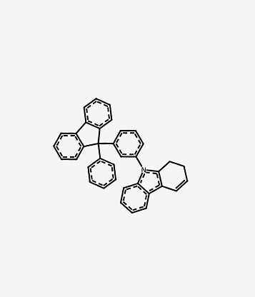 C1=Cc2c(n(-c3cccc(C4(c5ccccc5)c5ccccc5-c5ccccc54)c3)c3ccccc23)CC1